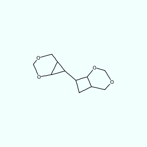 C1OCC2CC(C3C4COCOC43)C2O1